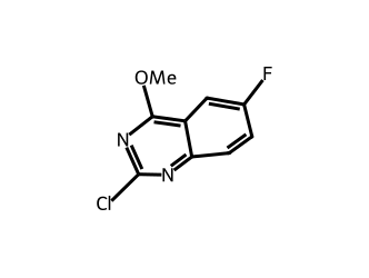 COc1nc(Cl)nc2ccc(F)cc12